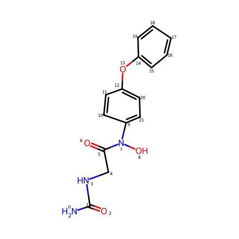 NC(=O)NCC(=O)N(O)c1ccc(Oc2ccccc2)cc1